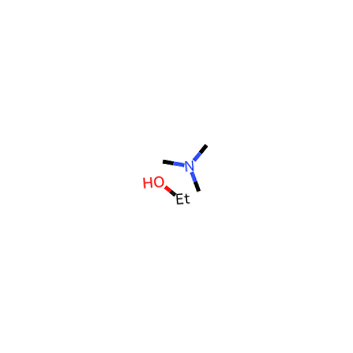 CN(C)C.[CH2]CO